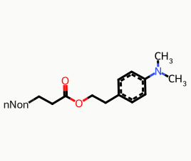 CCCCCCCCCCCC(=O)OCCc1ccc(N(C)C)cc1